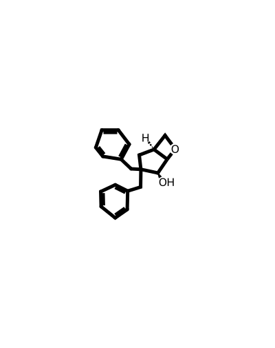 O[C@@H]1C2OC[C@@H]2CC1(Cc1ccccc1)Cc1ccccc1